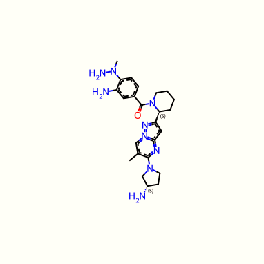 Cc1cn2nc([C@@H]3CCCCN3C(=O)c3ccc(N(C)N)c(N)c3)cc2nc1N1CC[C@H](N)C1